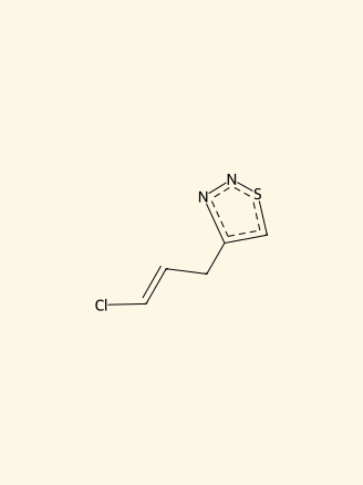 ClC=CCc1csnn1